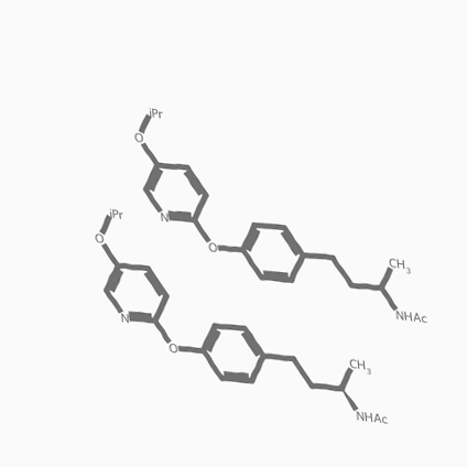 CC(=O)NC(C)CCc1ccc(Oc2ccc(OC(C)C)cn2)cc1.CC(=O)N[C@H](C)CCc1ccc(Oc2ccc(OC(C)C)cn2)cc1